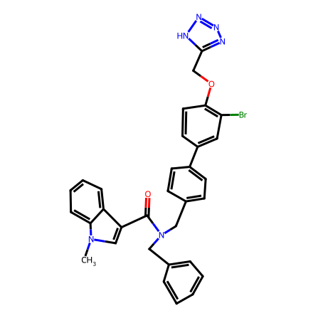 Cn1cc(C(=O)N(Cc2ccccc2)Cc2ccc(-c3ccc(OCc4nnn[nH]4)c(Br)c3)cc2)c2ccccc21